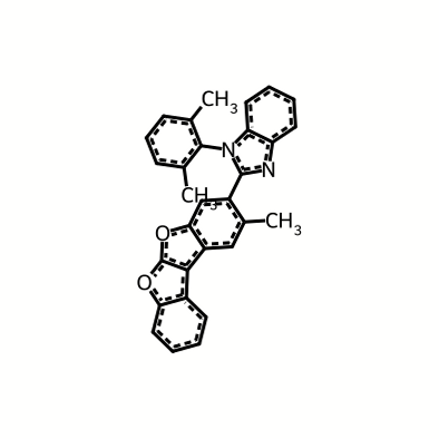 Cc1cc2c(cc1-c1nc3ccccc3n1-c1c(C)cccc1C)oc1oc3ccccc3c12